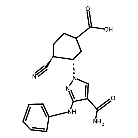 N#C[C@H]1CCC(C(=O)O)C[C@@H]1n1cc(C(N)=O)c(Nc2ccccc2)n1